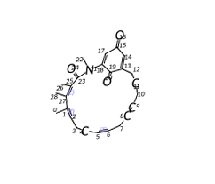 CC1=C/CC/C=C\CCCCCCC2=CC(=O)C=C(C2=O)N(C)C(=O)/C(C)=C\1C